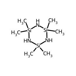 C[Si]1(C)N[Si](C)(C)N[Si](C)(C)N1